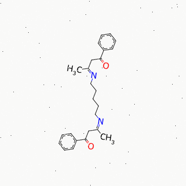 CC(CC(=O)c1ccccc1)=NCCCCCN=C(C)CC(=O)c1ccccc1